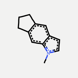 Cn1ccc2cc3c(cc21)CCC3